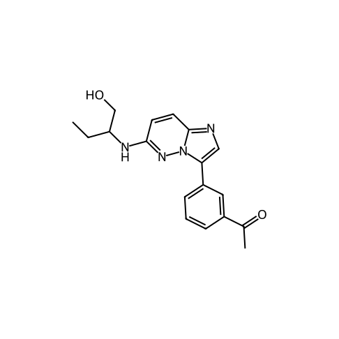 CCC(CO)Nc1ccc2ncc(-c3cccc(C(C)=O)c3)n2n1